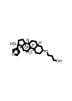 C[C@]12CC[C@H](OCCCO)C[C@H]1CC[C@@H]1[C@@H]2CC[C@]2(C)[C@@](O)(c3ccoc3)CC[C@]12O